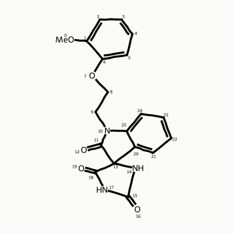 COc1ccccc1OCCN1C(=O)C2(NC(=O)NC2=O)c2ccccc21